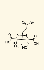 O=C(O)CSC(SCC(=O)O)(SCC(=O)O)C(CO)(CO)CCO